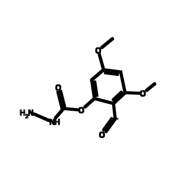 COc1cc(OC)c([C]=O)c(OC(=O)NN)c1